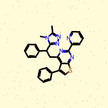 Cc1nnc(C(Cc2nc(-c3ccccn3)nc3scc(-c4ccccc4)c23)c2ccccc2)n1C